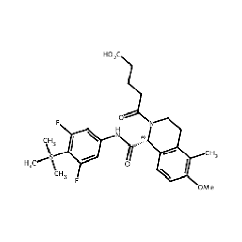 COc1ccc2c(c1C)CCN(C(=O)CCCC(=O)O)[C@H]2C(=O)Nc1cc(F)c(S(C)(C)C)c(F)c1